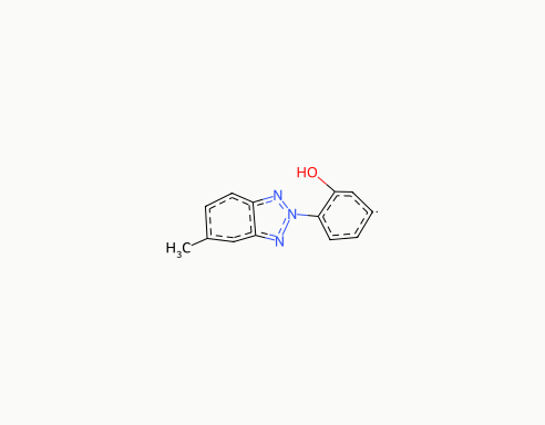 Cc1ccc2nn(-c3cc[c]cc3O)nc2c1